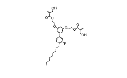 C=C(CO)C(=O)OCCOc1cc(OCCOC(=O)C(=C)CO)cc(-c2ccc(CCCCCCCCC)c(F)c2)c1